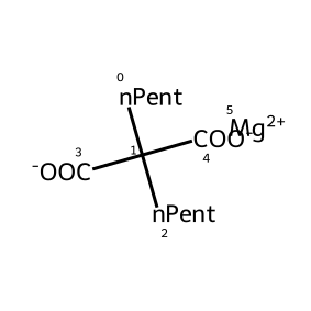 CCCCCC(CCCCC)(C(=O)[O-])C(=O)[O-].[Mg+2]